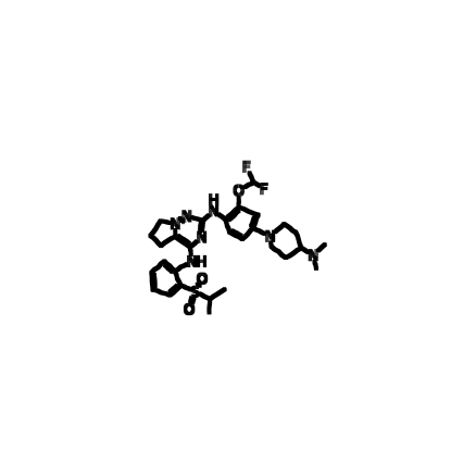 CC(C)S(=O)(=O)c1ccccc1Nc1nc(Nc2ccc(N3CCC(N(C)C)CC3)cc2OC(F)F)n[n+]2c1CCC2